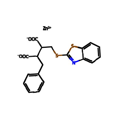 O=C([O-])C(CSc1nc2ccccc2s1)C(Cc1ccccc1)C(=O)[O-].[Zn+2]